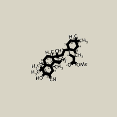 COC(=O)CC[C@]1(CCC(C)(C)[C@]2(C)CC[C@H]3C(C)(C)C(O)=C(C#N)C[C@]3(C)/C2=C/C(C)=O)CCC(C)(C)CC1C